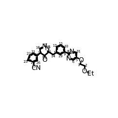 CCOCCOc1cnc(-c2cccc(CC3=NN=CC(c4cccc(C#N)c4)C3=O)c2)nc1